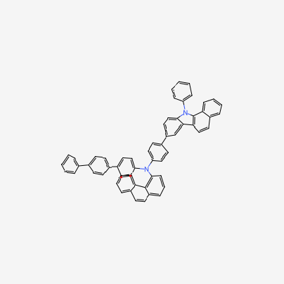 c1ccc(-c2ccc(-c3ccc(N(c4ccc(-c5ccc6c(c5)c5ccc7ccccc7c5n6-c5ccccc5)cc4)c4cccc5ccc6ccccc6c45)cc3)cc2)cc1